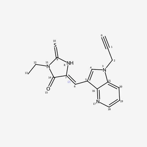 C#CCn1cc(/C=C2\NC(=S)N(CC)C2=O)c2ncccc21